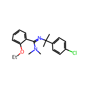 CCOc1ccccc1/C(=N/C(C)(C)c1ccc(Cl)cc1)N(C)C